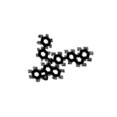 c1ccc(-c2cccc(N(c3ccc(-c4ccc5c(ccc6ccccc65)c4)cc3)c3cc4c5ccccc5oc4c4ccccc34)c2)cc1